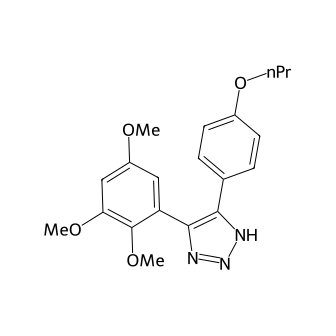 CCCOc1ccc(-c2[nH]nnc2-c2cc(OC)cc(OC)c2OC)cc1